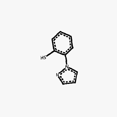 Sc1ccccc1-n1cccn1